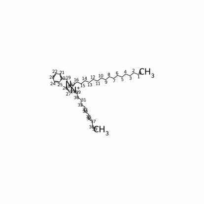 CCCCCCCCCCCCCCCCCc1n(Cc2ccccc2)cc[n+]1CCCCCCCCCCC